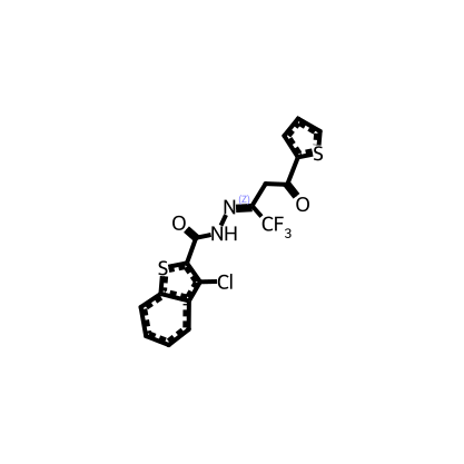 O=C(C/C(=N/NC(=O)c1sc2ccccc2c1Cl)C(F)(F)F)c1cccs1